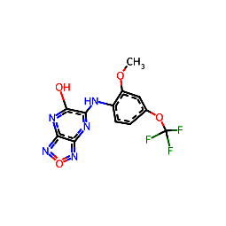 COc1cc(OC(F)(F)F)ccc1Nc1nc2nonc2nc1O